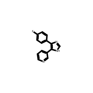 Fc1ccc(-c2n[c][nH]c2-c2cccnc2)cc1